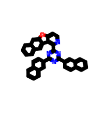 c1ccc2cc(-c3nc(-c4ccc5ccccc5c4)nc(-c4nccc5oc6cc7ccccc7cc6c45)n3)ccc2c1